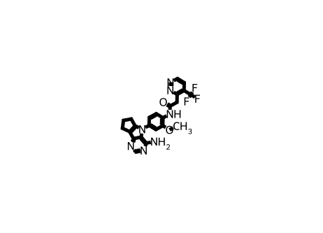 COc1cc(-n2c3c(c4ncnc(N)c42)CCC3)ccc1NC(=O)Cc1nnccc1C(F)(F)F